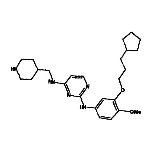 COc1ccc(Nc2nccc(NCC3CCNCC3)n2)cc1OCCCC1CCCC1